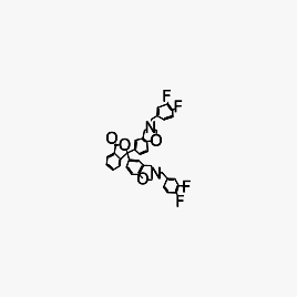 O=C1OC(c2ccc3c(c2)CN(Cc2ccc(F)c(F)c2)CO3)(c2ccc3c(c2)CN(Cc2ccc(F)c(F)c2)CO3)c2ccccc21